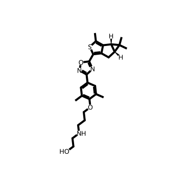 Cc1cc(-c2noc(-c3sc(C)c4c3C[C@@H]3[C@H]4C3(C)C)n2)cc(C)c1OCCCNCCO